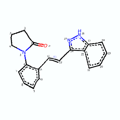 O=C1CCCN1c1ccccc1/C=C/c1n[nH]c2ccccc12